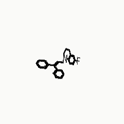 Fc1ccc2c(c1)CCCN2CC=C(c1ccccc1)c1ccccc1